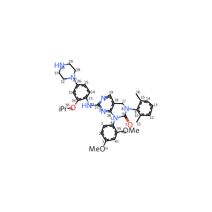 COc1ccc(N2C(=O)N(c3c(C)cccc3C)Cc3cnc(Nc4ccc(N5CCNCC5)cc4OC(C)C)nc32)c(OC)c1